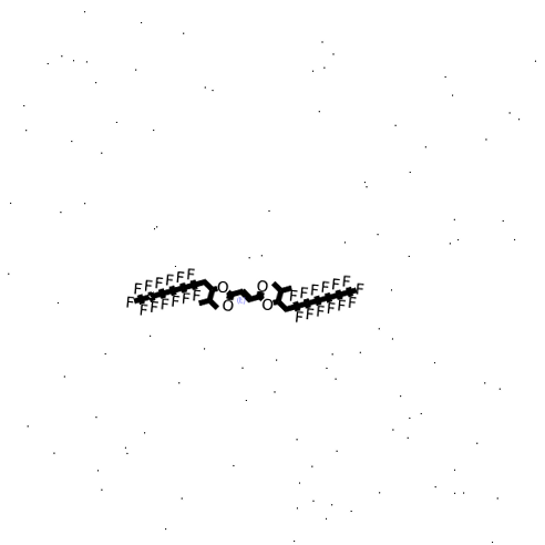 CC(C)C(CC(F)(F)C(F)(F)C(F)(F)C(F)(F)C(F)(F)C(F)(F)F)OC(=O)/C=C/C(=O)OC(CC(F)(F)C(F)(F)C(F)(F)C(F)(F)C(F)(F)C(F)(F)F)C(C)C